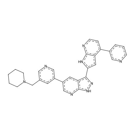 c1cncc(-c2ccnc3[nH]c(-c4n[nH]c5ncc(-c6cncc(CN7CCCCC7)c6)cc45)cc23)c1